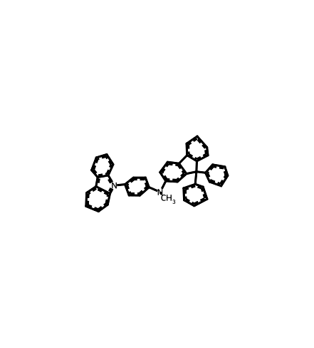 CN(c1ccc(-n2c3ccccc3c3ccccc32)cc1)c1ccc2c(c1)C(c1ccccc1)(c1ccccc1)c1ccccc1-2